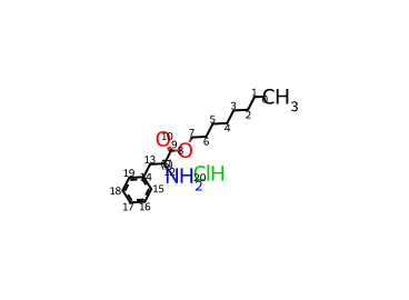 CCCCCCCCOC(=O)[C@@H](N)Cc1ccccc1.Cl